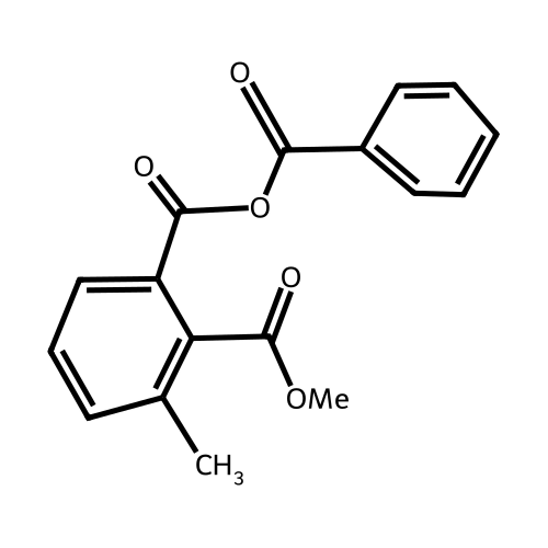 COC(=O)c1c(C)cccc1C(=O)OC(=O)c1ccccc1